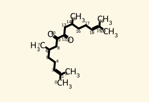 CC(C)=CCCC(C)CC(=O)C(=O)CC(C)CCC=C(C)C